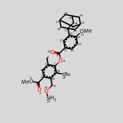 COC(=O)c1cc(C)c(OC(=O)c2ccc(OC)c(C34CC5CC(CC(C5)C3)C4)c2)c(C(C)(C)C)c1CO[SiH3]